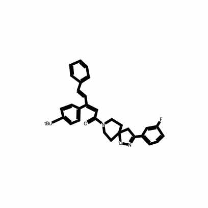 CC(C)(C)c1ccc(C(C=Cc2ccccc2)=CC(=O)N2CCC3(CC2)CC(c2cccc(F)c2)=NO3)cc1